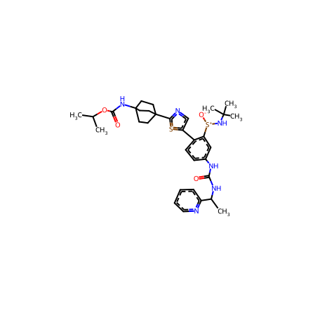 CC(C)OC(=O)NC12CCC(c3ncc(-c4ccc(NC(=O)NC(C)c5ccccn5)cc4[S+]([O-])NC(C)(C)C)s3)(CC1)CC2